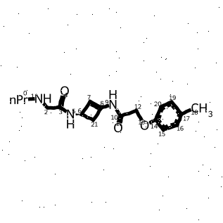 CCCNCC(=O)N[C@@H]1C=C(NC(=O)COc2ccc(C)cc2)C1